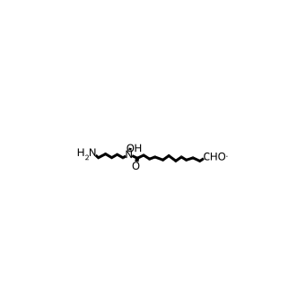 NCCCCCN(O)C(=O)CCCCCCCCCC[C]=O